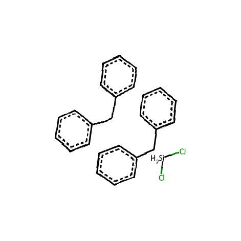 Cl[SiH2]Cl.c1ccc(Cc2ccccc2)cc1.c1ccc(Cc2ccccc2)cc1